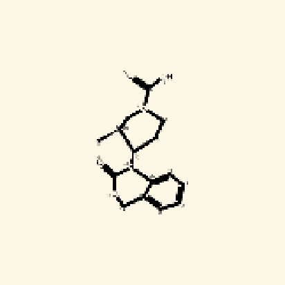 C[C@H]1CN(C(=O)O)CC[C@H]1N1C(=O)OCc2ccccc21